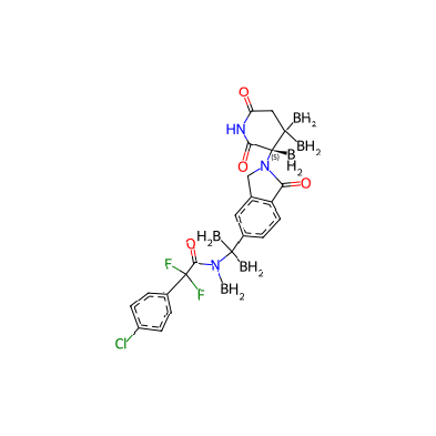 BN(C(=O)C(F)(F)c1ccc(Cl)cc1)C(B)(B)c1ccc2c(c1)CN([C@]1(B)C(=O)NC(=O)CC1(B)B)C2=O